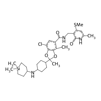 CSc1cc(C)[nH]c(=O)c1CNC(=O)c1cc(Cl)c2c(c1C)OC(C)(C1CCC(NC3CC[Si](C)(C)CC3)CC1)O2